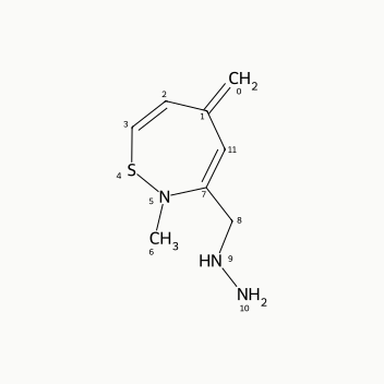 C=C1C=CSN(C)C(CNN)=C1